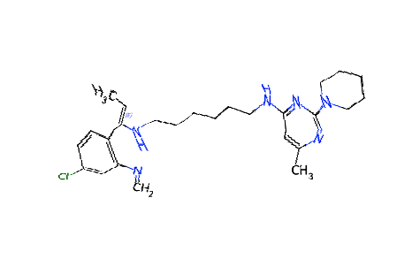 C=Nc1cc(Cl)ccc1/C(=C\C)NCCCCCCNc1cc(C)nc(N2CCCCC2)n1